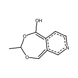 CC1OC=c2cnccc2=C(O)O1